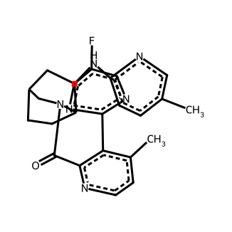 Cc1ccc(NC2CC3CCC2N(C(=O)c2nccc(C)c2-c2ncc(F)cn2)C3)nc1